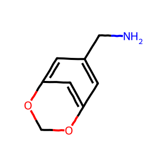 NCc1cc2cc(c1)OCO2